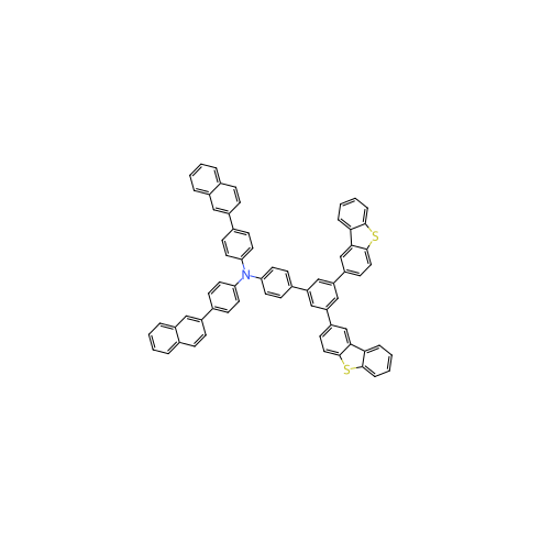 c1ccc2cc(-c3ccc(N(c4ccc(-c5cc(-c6ccc7sc8ccccc8c7c6)cc(-c6ccc7sc8ccccc8c7c6)c5)cc4)c4ccc(-c5ccc6ccccc6c5)cc4)cc3)ccc2c1